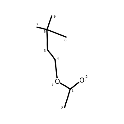 CC([O])OCCC(C)(C)C